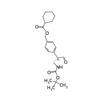 CC(C)(C)OC(=O)NC[C@@H](C=O)c1ccc(COC(=O)C2CCCCC2)cc1